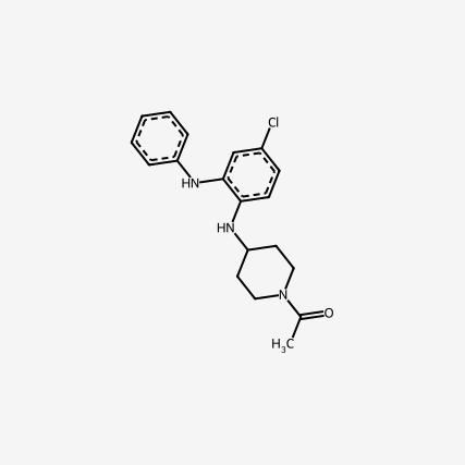 CC(=O)N1CCC(Nc2ccc(Cl)cc2Nc2ccccc2)CC1